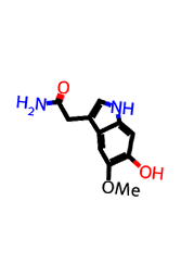 COc1cc2c(CC(N)=O)c[nH]c2cc1O